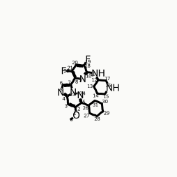 COc1cc2ncc(-c3nc(NC4CCCNC4)c(F)cc3F)n2nc1C1CCCCC1